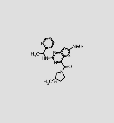 CNc1cc2nc(NC(C)c3ccccn3)nc(C(=O)N3CC[C@@H](C)C3)c2s1